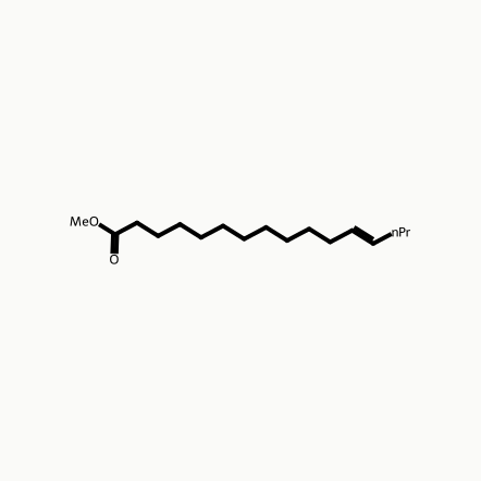 CCCC=CCCCCCCCCCCC(=O)OC